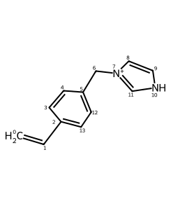 C=Cc1ccc(C[n+]2cc[nH]c2)cc1